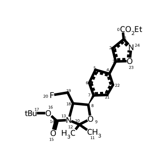 CCOC(=O)c1cc(-c2ccc([C@H]3OC(C)(C)N(C(=O)OC(C)(C)C)C3CF)cc2)on1